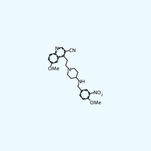 COc1ccc2ncc(C#N)c(CCN3CCC(NCc4ccc(OC)c([N+](=O)[O-])c4)CC3)c2c1